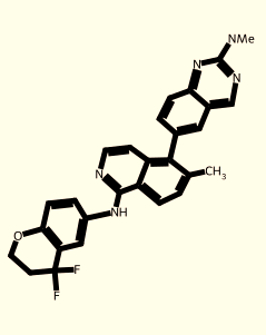 CNc1ncc2cc(-c3c(C)ccc4c(Nc5ccc6c(c5)C(F)(F)CCO6)nccc34)ccc2n1